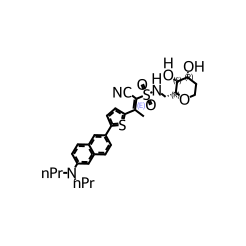 CCCN(CCC)c1ccc2cc(-c3ccc(/C(C)=C(\C#N)S(=O)(=O)NC[C@H]4OCC[C@@H](O)[C@@H]4O)s3)ccc2c1